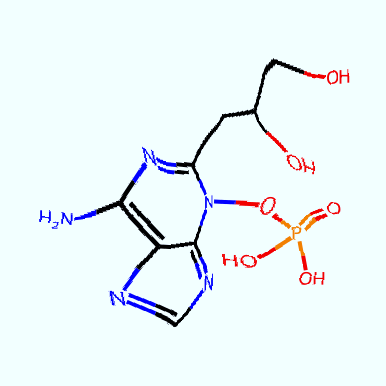 Nc1nc(CC(O)CO)n(OP(=O)(O)O)c2ncnc1-2